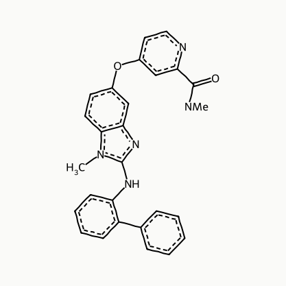 CNC(=O)c1cc(Oc2ccc3c(c2)nc(Nc2ccccc2-c2ccccc2)n3C)ccn1